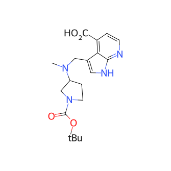 CN(Cc1c[nH]c2nccc(C(=O)O)c12)C1CCN(C(=O)OC(C)(C)C)C1